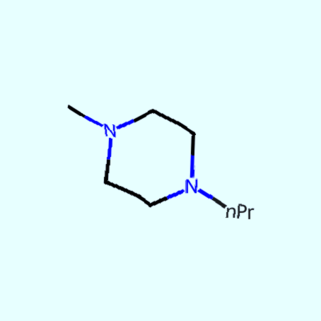 [CH2]CCN1CCN(C)CC1